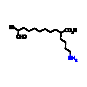 CCC(C=O)CCCCCCCC(CCCCN)C(=O)O